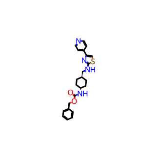 O=C(N[C@H]1CC[C@H](CNc2nc(-c3ccncc3)cs2)CC1)OCc1ccccc1